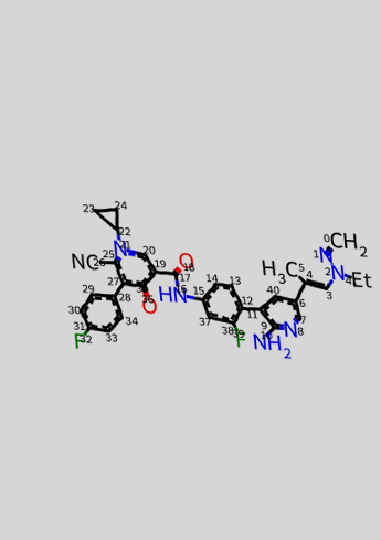 C=NN(/C=C(\C)c1cnc(N)c(-c2ccc(NC(=O)c3cn(C4CC4)c(C#N)c(-c4ccc(F)cc4)c3=O)cc2F)c1)CC